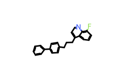 Fc1cccc2c(CCCc3ccc(-c4ccccc4)cc3)ccnc12